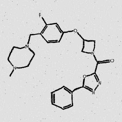 CN1CCN(Cc2ccc(OC3CN(C(=O)c4nnc(-c5ccccc5)o4)C3)cc2F)CC1